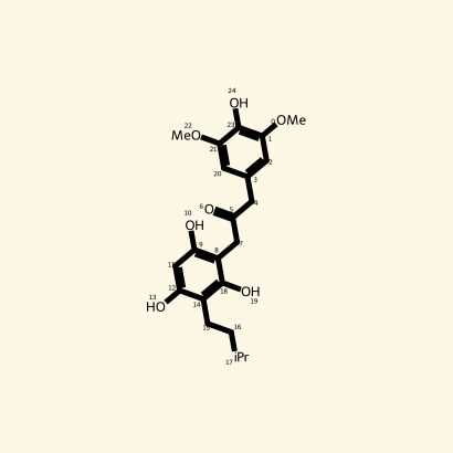 COc1cc(CC(=O)Cc2c(O)cc(O)c(CCC(C)C)c2O)cc(OC)c1O